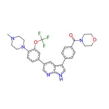 CN1CCN(c2ccc(-c3cnc4[nH]cc(-c5ccc(C(=O)N6CCOCC6)cc5)c4c3)cc2OC(F)(F)F)CC1